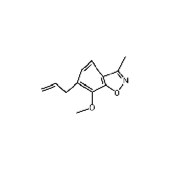 C=CCc1ccc2c(C)noc2c1OC